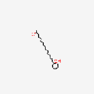 CC(=O)CCCCCCCCCCCCCCC1(O)CCCCC1